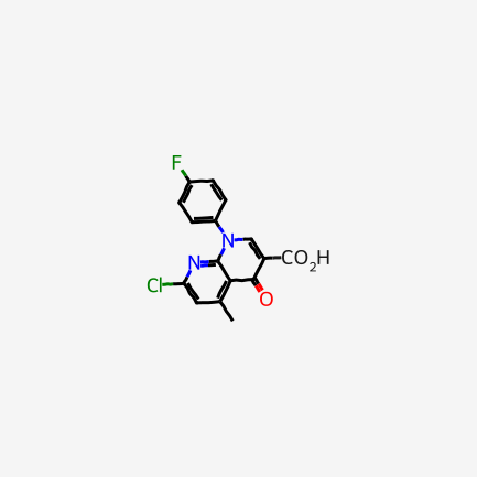 Cc1cc(Cl)nc2c1c(=O)c(C(=O)O)cn2-c1ccc(F)cc1